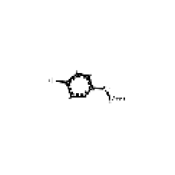 CCCCCSc1ccc(F)cc1